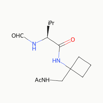 CC(=O)NCC1(NC(=O)[C@@H](NC=O)C(C)C)CCC1